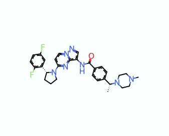 C[C@H](c1ccc(C(=O)Nc2cnn3ccc(N4CCC[C@@H]4c4cc(F)ccc4F)nc23)cc1)N1CCN(C)CC1